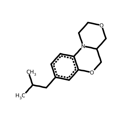 CC(C)Cc1ccc2c(c1)OCC1COCCN21